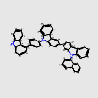 c1ccc2c(-n3c4ccccc4c4ccc(-c5ccc6c(c5)c5ccccc5n6-c5ccc(-c6cccc7[nH]c8ccccc8c67)cc5)cc43)cccc2c1